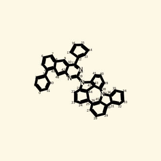 c1ccc(-c2cccc3cc4c(-c5ccccc5)nc(-n5c6cccc7c8cccc9c%10ccccc%10n(c%10cccc5c%10c76)c89)nc4cc23)cc1